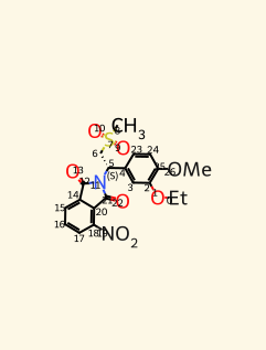 CCOc1cc([C@@H](CS(C)(=O)=O)N2C(=O)c3cccc([N+](=O)[O-])c3C2=O)ccc1OC